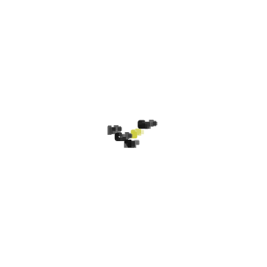 [Cu+2].[Ga+3].[In+3].[Na+].[S-2]